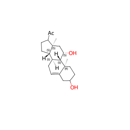 CC(=O)C1CC[C@H]2[C@@H]3CC=C4CC(O)CC[C@]4(C)[C@H]3[C@@H](O)C[C@]12C